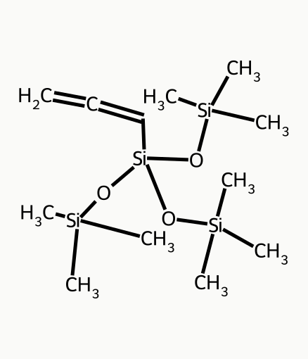 C=C=C[Si](O[Si](C)(C)C)(O[Si](C)(C)C)O[Si](C)(C)C